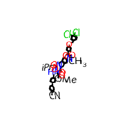 COC(=O)[C@H](Cc1ccc(-c2ccc(C#N)cc2)cc1)NC(=O)C1Cc2cc3c(cc2CN1C(=O)OC(C)C)OC(c1ccc(OCc2ccc(Cl)c(Cl)c2)cc1)C(=O)N3C